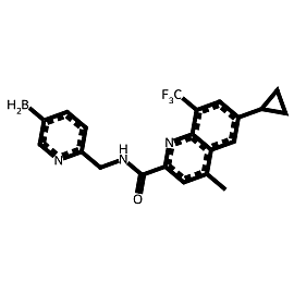 Bc1ccc(CNC(=O)c2cc(C)c3cc(C4CC4)cc(C(F)(F)F)c3n2)nc1